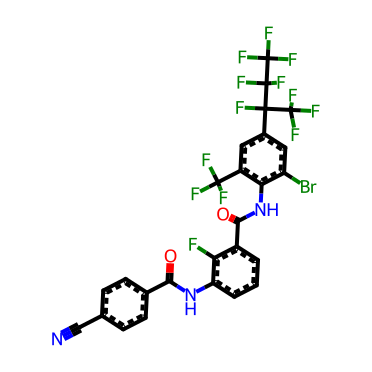 N#Cc1ccc(C(=O)Nc2cccc(C(=O)Nc3c(Br)cc(C(F)(C(F)(F)F)C(F)(F)C(F)(F)F)cc3C(F)(F)F)c2F)cc1